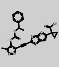 Cc1noc(C#Cc2nc3sc(C4(C(=O)O)CC4)cc3s2)c1NC(=O)OC(C)c1ccccc1